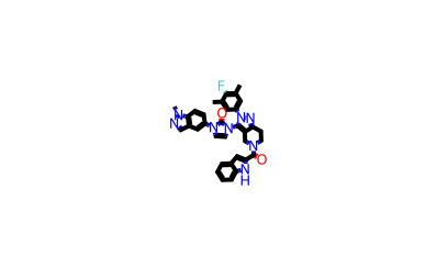 Cc1cc(-n2nc3c(c2-n2ccn(-c4ccc5c(cnn5C)c4)c2=O)CN(C(=O)c2cc4ccccc4[nH]2)CC3)cc(C)c1F